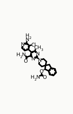 Cc1nc(N2CCC3(CC2)Cc2ccccc2[C@H]3OC(N)=O)nc(C(N)=O)c1-c1ccnc(N)c1Cl